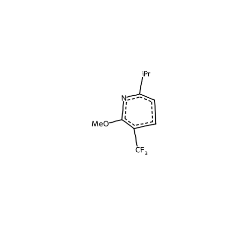 COc1nc(C(C)C)ccc1C(F)(F)F